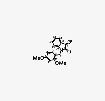 COc1ccc(CN2C(=O)C(=O)c3ccccc32)c(OC)c1